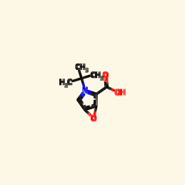 CC(C)(C)n1cc2c(c1C(=O)O)O2